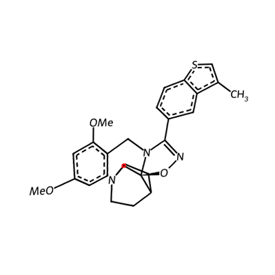 COc1ccc(CN2C(c3ccc4scc(C)c4c3)=NO[C@@]23CN2CCC3CC2)c(OC)c1